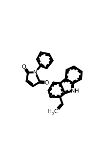 C=Cc1cccc2c1[nH]c1ccccc12.O=C1C=CC(=O)N1c1ccccc1